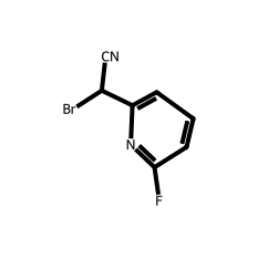 N#CC(Br)c1cccc(F)n1